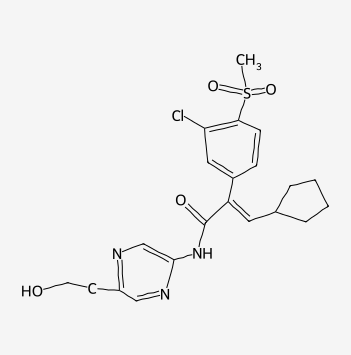 CS(=O)(=O)c1ccc(/C(=C\C2CCCC2)C(=O)Nc2cnc(CCO)cn2)cc1Cl